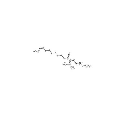 CCCCCCCC/C=C\CCCCCCCC(=O)N(CCNCC(=O)O)C(C)O